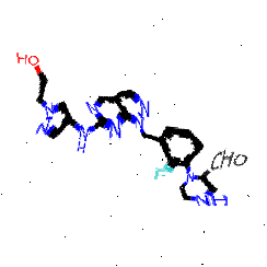 O=CC1CNCCN1c1cccc(Cn2ncc3cnc(Nc4cnn(CCO)c4)nc32)c1F